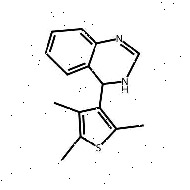 Cc1sc(C)c(C2NC=Nc3ccccc32)c1C